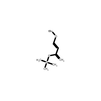 C=C(C=COC(C)(C)C)O[Si](C)(C)C